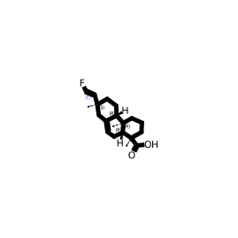 C[C@]1(/C=C/F)CC[C@H]2C(=CC[C@@H]3[C@]2(C)CCC[C@@]3(C)C(=O)O)C1